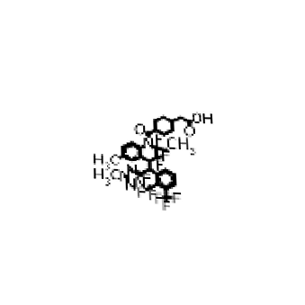 CCC1(F)N(C(=O)C2CCC(CC(=O)O)CC2)c2ccc(C)cc2C(C(c2nnn(C)n2)c2cccc(C(F)(F)F)c2C(F)(F)F)C1(F)F